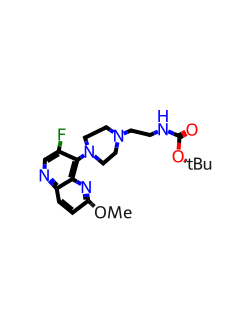 COc1ccc2ncc(F)c(N3CCN(CCNC(=O)OC(C)(C)C)CC3)c2n1